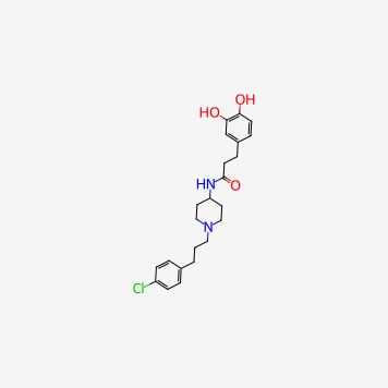 O=C(CCc1ccc(O)c(O)c1)NC1CCN(CCCc2ccc(Cl)cc2)CC1